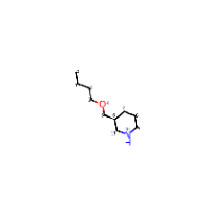 CCCCOC[C@H]1CCCNC1